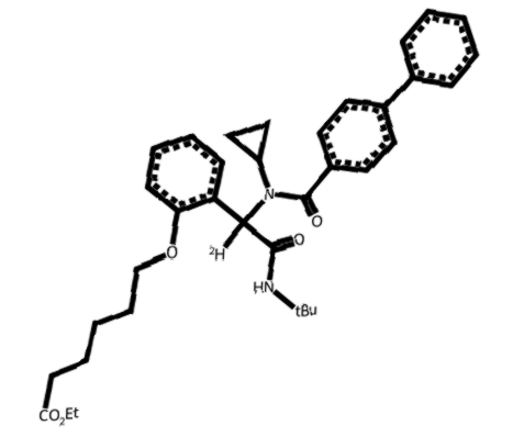 [2H]C(C(=O)NC(C)(C)C)(c1ccccc1OCCCCCC(=O)OCC)N(C(=O)c1ccc(-c2ccccc2)cc1)C1CC1